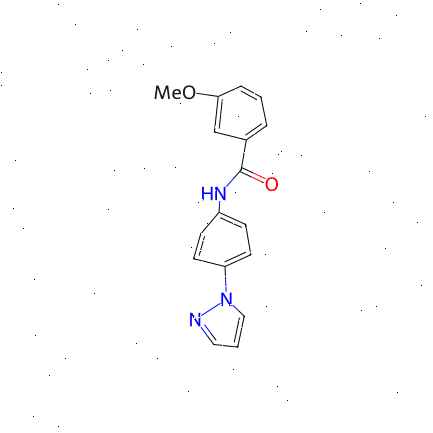 COc1cccc(C(=O)Nc2ccc(-n3cccn3)cc2)c1